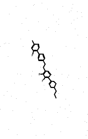 CCCC1CC=C(c2ccc(CCc3ccc(-c4ccc(C)cc4F)cc3)c(F)c2F)CC1